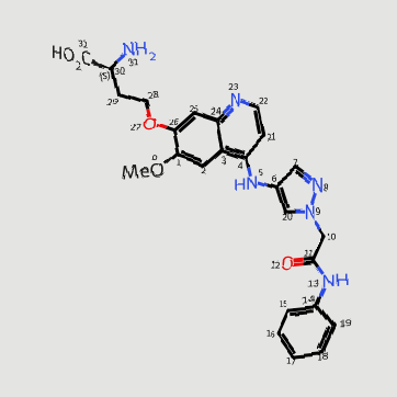 COc1cc2c(Nc3cnn(CC(=O)Nc4ccccc4)c3)ccnc2cc1OCC[C@H](N)C(=O)O